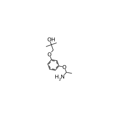 CC(N)Oc1cccc(OCC(C)(C)O)c1